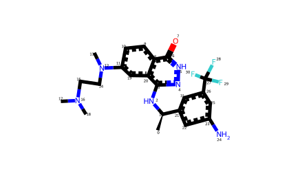 C[C@@H](Nc1n[nH]c(=O)c2ccc(N(C)CCN(C)C)cc12)c1cc(N)cc(C(F)(F)F)c1